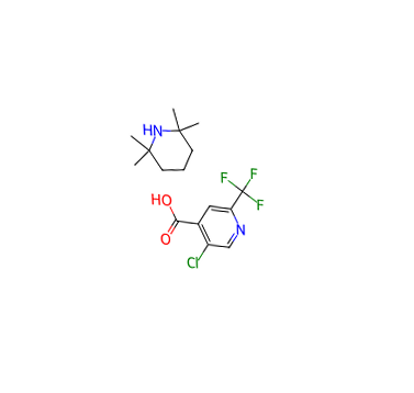 CC1(C)CCCC(C)(C)N1.O=C(O)c1cc(C(F)(F)F)ncc1Cl